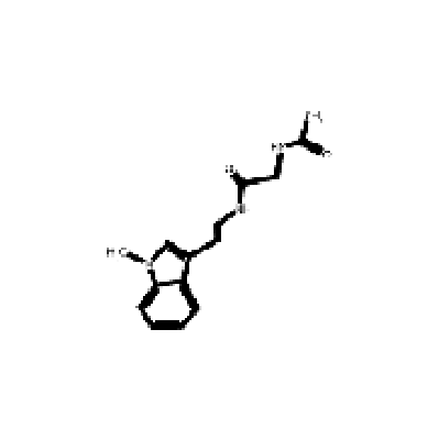 CC(=O)NCC(=O)NCCc1cn(C)c2ccccc12